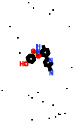 Cc1ccc(-c2ccc(C#N)cn2)cc1NS(=O)(=O)c1ccc(O)cc1